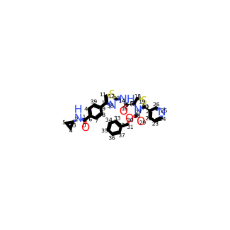 O=C(NC1CC1)c1ccc(-c2csc(NC(=O)[C@@H]3CS[C@@H](c4cccnc4)N3C(=O)OCc3ccccc3)n2)cc1